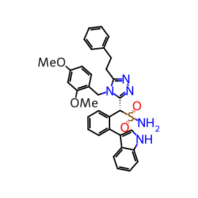 COc1ccc(Cn2c(CCc3ccccc3)nnc2[C@@H](c2ccccc2-c2c[nH]c3ccccc23)S(N)(=O)=O)c(OC)c1